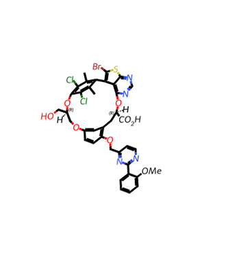 COc1ccccc1-c1nccc(COc2ccc3cc2C[C@H](C(=O)O)Oc2ncnc4sc(Br)c(c24)-c2c(C)c(Cl)c(c(Cl)c2C)O[C@H](CO)CO3)n1